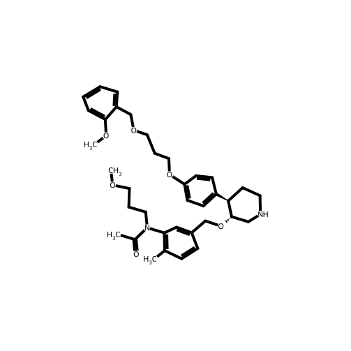 COCCCN(C(C)=O)c1cc(CO[C@H]2CNCC[C@@H]2c2ccc(OCCCOCc3ccccc3OC)cc2)ccc1C